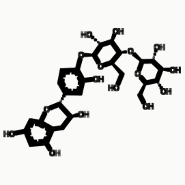 OC[C@H]1O[C@@H](O[C@H]2[C@H](O)[C@@H](O)[C@H](Oc3ccc([C@H]4Oc5cc(O)cc(O)c5C[C@@H]4O)cc3O)O[C@@H]2CO)[C@H](O)[C@@H](O)[C@@H]1O